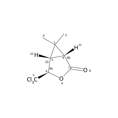 CC1(C)[C@H]2[C@H](C(Cl)(Cl)Cl)OC(=O)[C@H]21